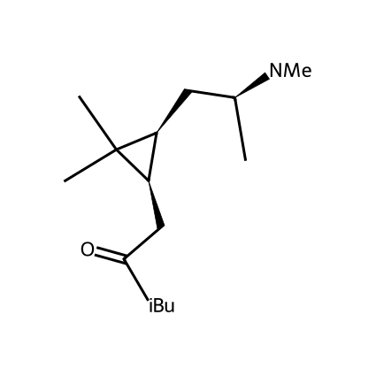 CCC(C)C(=O)C[C@@H]1[C@H](C[C@H](C)NC)C1(C)C